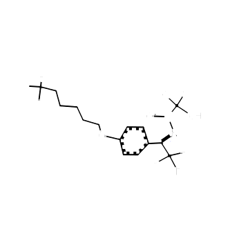 CC(C)(C)[S+]([O-])/N=C(\c1ccc(OCCCCCC(F)(F)F)cc1)C(F)(F)F